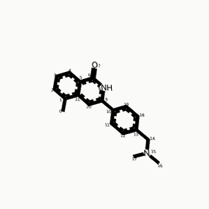 Cc1cccc2c(=O)[nH]c(-c3ccc(CN(C)C)cc3)cc12